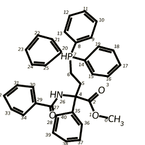 COC(=O)C(CC[PH](c1ccccc1)(c1ccccc1)c1ccccc1)(NC(=O)c1ccccc1)c1ccccc1